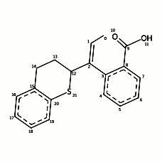 C/C=C(\c1ccccc1C(=O)O)C1CCc2ccccc2S1